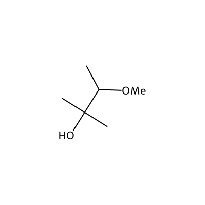 COC(C)C(C)(C)O